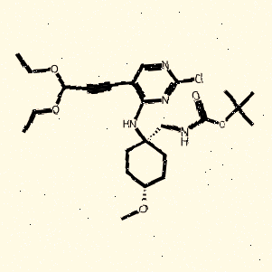 CCOC(C#Cc1cnc(Cl)nc1N[C@]1(CNC(=O)OC(C)(C)C)CC[C@@H](OC)CC1)OCC